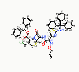 C=CCO/N=C(\C(=O)N[C@@H]1C(=O)N2C(C(=O)OC(c3ccccc3)c3ccccc3)=C(CCl)CS[C@H]12)c1csc(NC(c2ccccc2)(c2ccccc2)c2ccccc2)n1